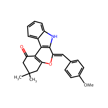 COc1ccc(C=C2OC3=C(C(=O)CC(C)(C)C3)c3c2[nH]c2ccccc32)cc1